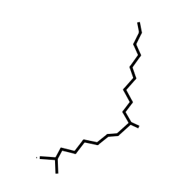 [CH2]C(C)CCCCCCC(C)CCCCCCCCC